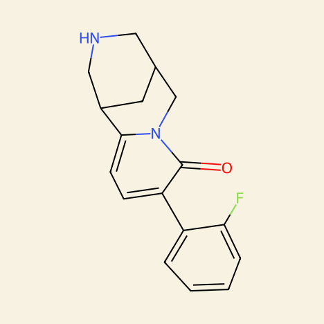 O=c1c(-c2ccccc2F)ccc2n1CC1CNCC2C1